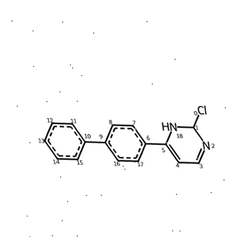 ClC1N=CC=C(c2ccc(-c3ccccc3)cc2)N1